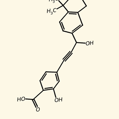 CC1(C)CCCc2cc(C(O)C#Cc3ccc(C(=O)O)c(O)c3)ccc21